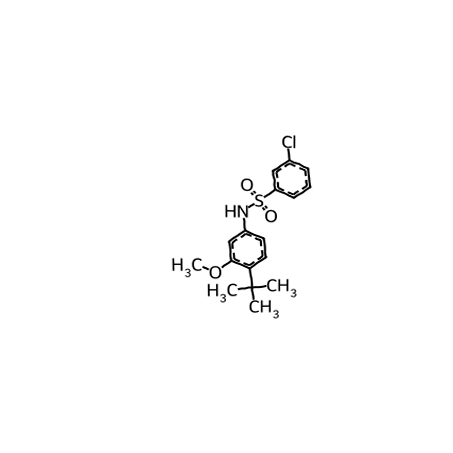 COc1cc(NS(=O)(=O)c2cccc(Cl)c2)ccc1C(C)(C)C